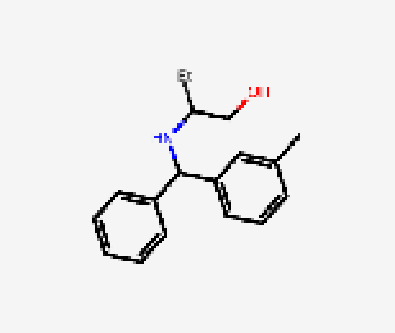 CCC(CO)NC(c1ccccc1)c1cccc(C)c1